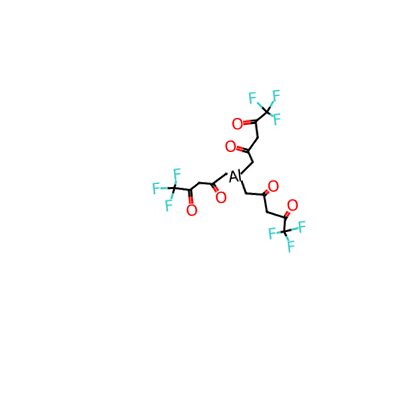 O=C(CC(=O)C(F)(F)F)[CH2][Al]([CH2]C(=O)CC(=O)C(F)(F)F)[CH2]C(=O)CC(=O)C(F)(F)F